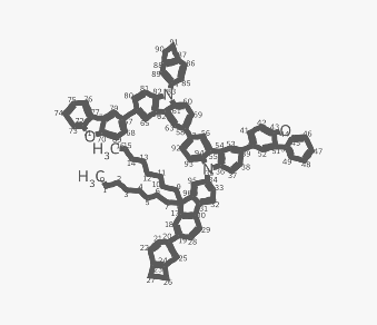 CCCCCCCCC1(CCCCCCCC)c2cc(-c3ccc4c(c3)CC4)ccc2-c2ccc(-n3c4ccc(-c5ccc6oc7ccccc7c6c5)cc4c4cc(-c5ccc6c(c5)c5cc(-c7ccc8oc9ccccc9c8c7)ccc5n6-c5ccc6c(c5)CC6)ccc43)cc21